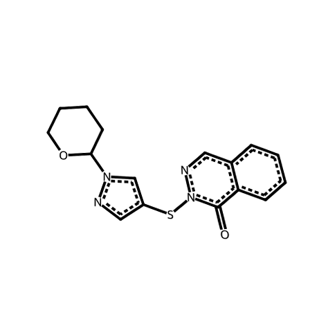 O=c1c2ccccc2cnn1Sc1cnn(C2CCCCO2)c1